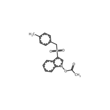 CC(=O)On1cc(S(=O)(=O)Cc2ccc(C)cc2)c2ccccc21